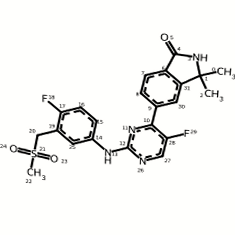 CC1(C)NC(=O)c2ccc(-c3nc(Nc4ccc(F)c(CS(C)(=O)=O)c4)ncc3F)cc21